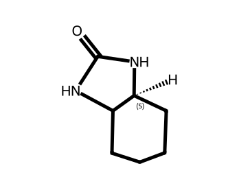 O=C1NC2CCCC[C@@H]2N1